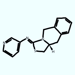 c1cncc(N=C2SC[C@H]3Cc4ccccc4CN23)c1